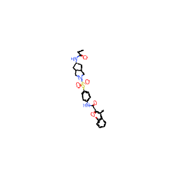 C=CC(=O)NC1CC2CN(S(=O)(=O)c3ccc(NC(=O)c4oc5ccccc5c4C)cc3)CC2C1